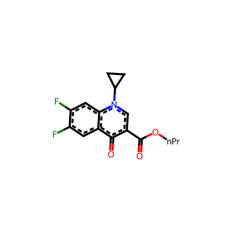 CCCOC(=O)c1cn(C2CC2)c2cc(F)c(F)cc2c1=O